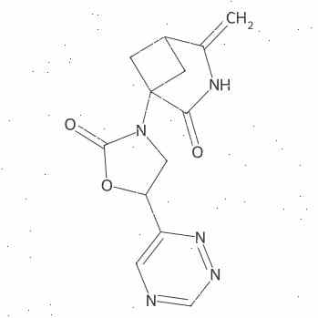 C=C1NC(=O)C2(N3CC(c4cncnn4)OC3=O)CC1C2